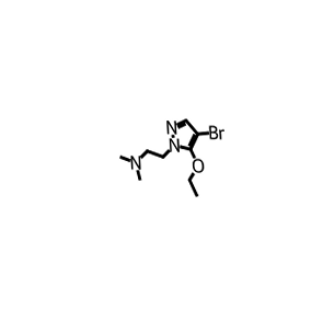 CCOc1c(Br)cnn1CCN(C)C